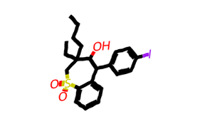 CCCCC1(CC)CS(=O)(=O)c2ccccc2C(c2ccc(I)cc2)C1O